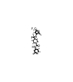 Cc1cc(NC(=O)N2CCC([C@](C)(F)Sc3cc(C(F)(F)F)nn3C)CC2)ccn1